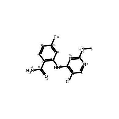 CNc1ncc(Cl)c(Nc2cc(F)ccc2C(N)=O)n1